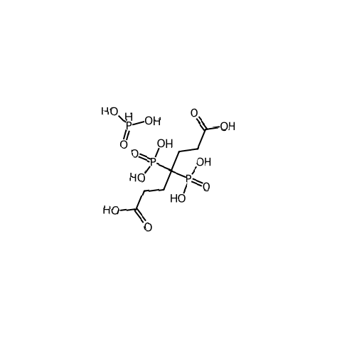 O=C(O)CCC(CCC(=O)O)(P(=O)(O)O)P(=O)(O)O.O=[PH](O)O